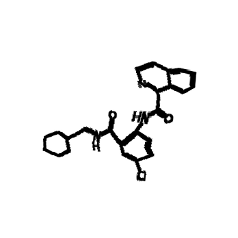 O=C(NCC1CCCCC1)c1cc(Cl)ccc1NC(=O)c1nccc2ccccc12